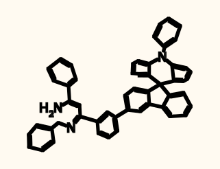 N/C(=C\C(=N/Cc1ccccc1)c1cccc(-c2ccc3c(c2)-c2ccccc2C32c3ccccc3N(c3ccccc3)c3ccccc32)c1)c1ccccc1